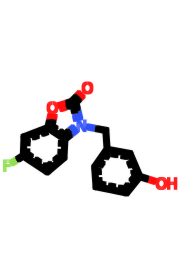 O=c1oc2cc(F)ccc2n1Cc1cccc(O)c1